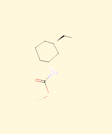 CC(C)(C)OC(=O)N[C@@H]1CCC[C@@H](CC(=O)O)C1